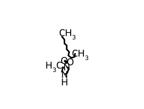 CCCCCCCCC(CC)OC(=O)N1CCNCC1C